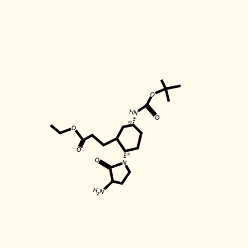 CCOC(=O)CCC1C[C@H](NC(=O)OC(C)(C)C)CC[C@@H]1N1CCC(N)C1=O